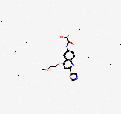 COCCOc1cc(-c2cncs2)nc2ccc(NC(=O)[C@@H](C)O)cc12